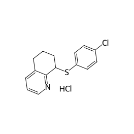 Cl.Clc1ccc(SC2CCCc3cccnc32)cc1